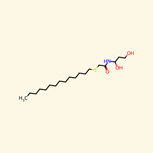 CCCCCCCCCCCCCCSCC(=O)NC(O)CCO